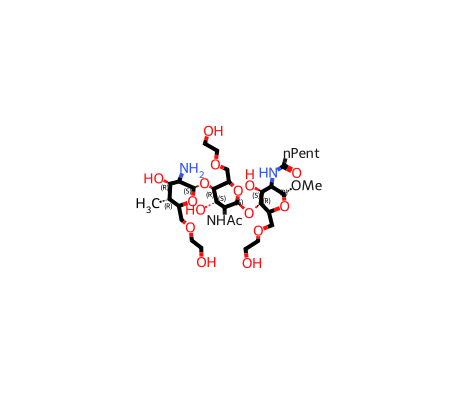 CCCCCC(=O)NC1[C@H](OC)OC(COCCO)[C@H](O[C@@H]2OC(COCCO)[C@H](O[C@@H]3OC(COCCO)[C@H](C)[C@@H](O)C3N)[C@@H](O)C2NC(C)=O)[C@H]1O